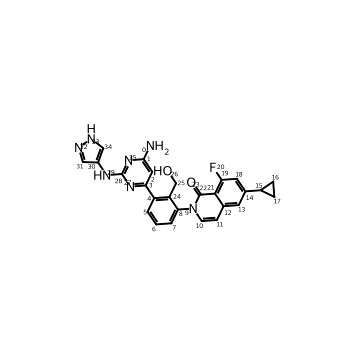 Nc1cc(-c2cccc(-n3ccc4cc(C5CC5)cc(F)c4c3=O)c2CO)nc(Nc2cn[nH]c2)n1